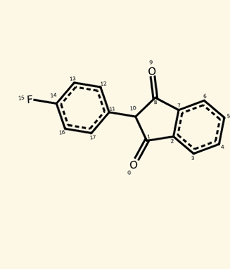 O=C1c2ccccc2C(=O)C1c1ccc(F)cc1